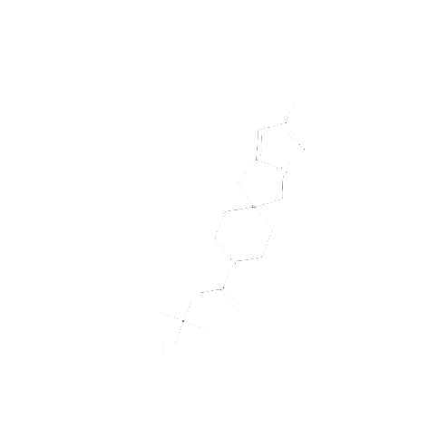 CC(C)(C)OC(=O)N1CCC2(CC1)Cc1cc(O)nn1C2